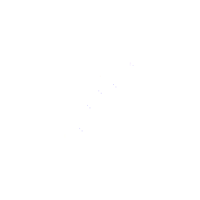 O=C(N1CCN(c2ccc(F)nc2)CC1)N1CCOc2cnccc21